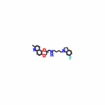 Cc1ccc2c3c(ccc2n1)OC[C@H](CNCCCCN1CCc2ccc(F)cc21)O3